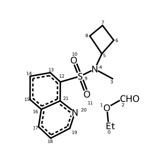 CCOC=O.CN(C1CCC1)S(=O)(=O)c1cccc2cccnc12